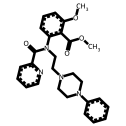 COC(=O)c1c(OC)cccc1N(CCN1CCN(c2ccccc2)CC1)C(=O)c1ccccn1